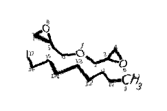 C(OCC1CO1)C1CO1.CCCCCCCCI